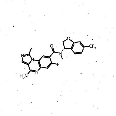 Cc1ncc2c(N)nc3cc(F)c(C(=O)N(C)[C@@H]4COc5cc(C(F)(F)F)ccc54)cc3n12